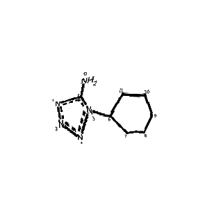 Nc1nnnn1C1CCCCC1